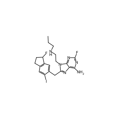 CCCNCCn1c(Cc2cc3c(cc2I)CCC3F)nc2c(N)nc(F)nc21